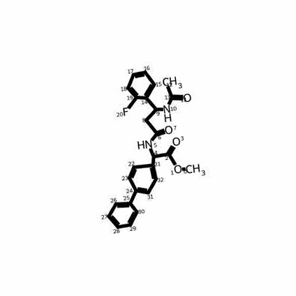 COC(=O)C(NC(=O)CC(NC(C)=O)c1ccccc1F)c1ccc(-c2ccccc2)cc1